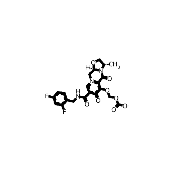 C[C@H]1CO[C@@H]2Cn3cc(C(=O)NCc4ccc(F)cc4F)c(=O)c(OCOC([O])=O)c3C(=O)N12